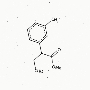 COC(=O)C(CC=O)c1cccc(C)c1